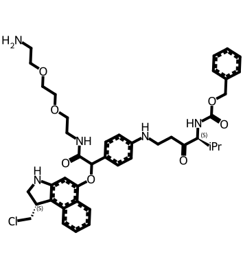 CC(C)[C@H](NC(=O)OCc1ccccc1)C(=O)CCNc1ccc(C(Oc2cc3c(c4ccccc24)[C@H](CCl)CN3)C(=O)NCCOCCOCCN)cc1